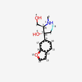 CN[C@H](CO)[C@@](O)(CF)c1ccc2ccoc2c1